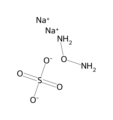 NON.O=S(=O)([O-])[O-].[Na+].[Na+]